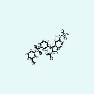 CS(=O)(=O)Nc1ccc2cc(C(N)=O)n(-c3cccc(S(=O)(=O)c4cccc(Br)c4)c3)c2c1